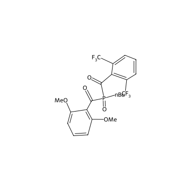 CCCCP(=O)(C(=O)c1c(OC)cccc1OC)C(=O)c1c(C(F)(F)F)cccc1C(F)(F)F